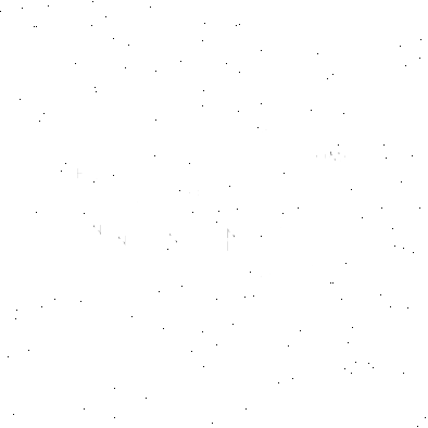 COc1cc(-c2ccco2)c(NC(=O)Nc2nnc(C(F)(F)F)s2)cc1Cl